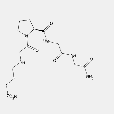 NC(=O)CNC(=O)CNC(=O)[C@@H]1CCCN1C(=O)CNCCCC(=O)O